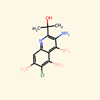 Bc1cc2nc(C(C)(C)O)c(N)c(B)c2c(B)c1Cl